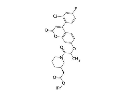 CC(C)OC(=O)C[C@H]1CCCN(C(=O)C(C)Oc2ccc3c(-c4ccc(F)cc4Cl)cc(=O)oc3c2)C1